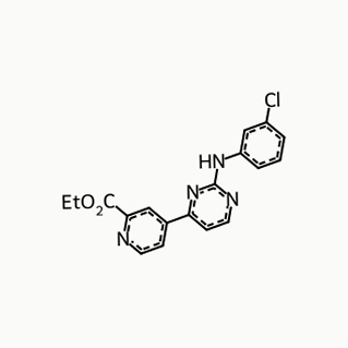 CCOC(=O)c1cc(-c2ccnc(Nc3cccc(Cl)c3)n2)ccn1